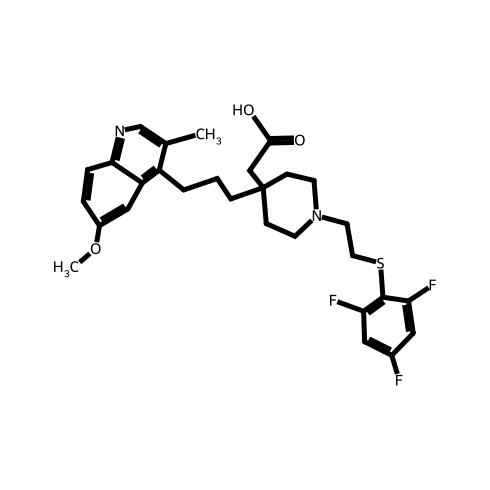 COc1ccc2ncc(C)c(CCCC3(CC(=O)O)CCN(CCSc4c(F)cc(F)cc4F)CC3)c2c1